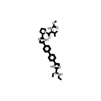 CCN[C@@H](CC)c1ncc(-c2ccc(-c3ccc(-c4cnc(C5CCCN5C(=O)[C@@H](NC(=O)OC)C(C)C)[nH]4)cc3)cc2)[nH]1